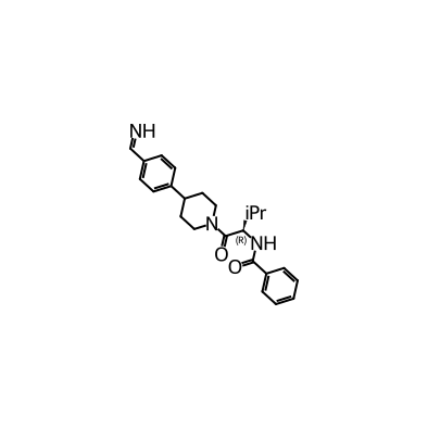 CC(C)[C@@H](NC(=O)c1ccccc1)C(=O)N1CCC(c2ccc(C=N)cc2)CC1